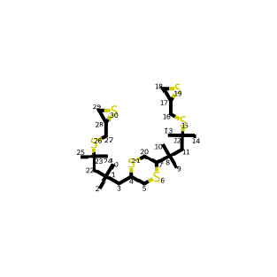 CC(C)(CC1CSC(C(C)(C)CC(C)(C)SCC2CS2)CS1)CC(C)(C)SCC1CS1